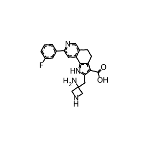 NC1(Cc2[nH]c3c(c2C(=O)O)CCc2cnc(-c4cccc(F)c4)cc2-3)CNC1